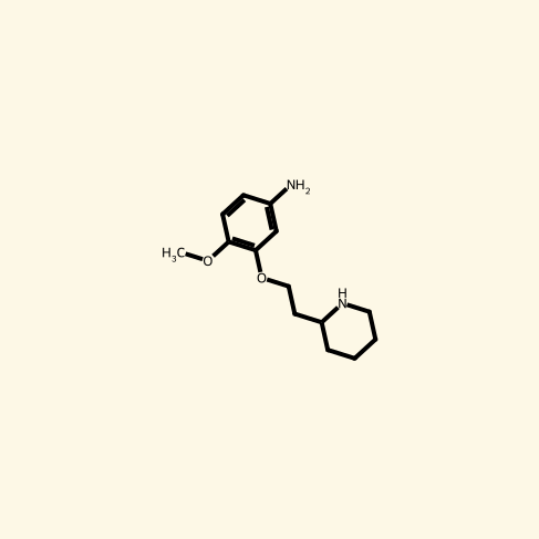 COc1ccc(N)cc1OCCC1CCCCN1